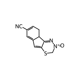 N#CC1=CCC2C(=C1)C=C1SC[N+](=O)N=C12